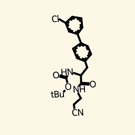 CC(C)(C)OC(=O)NC(Cc1ccc(-c2cccc(Cl)c2)cc1)C(=O)NCCC#N